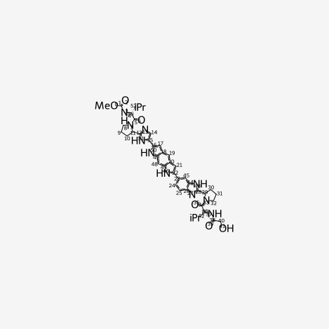 COC(=O)N[C@@H](C(=O)N1CCCC1c1ncc(-c2cc3cc4cc(-c5ccc6nc(C7CCCN7C(=O)[C@@H](NC(=O)CO)C(C)C)[nH]c6c5)[nH]c4cc3[nH]2)[nH]1)C(C)C